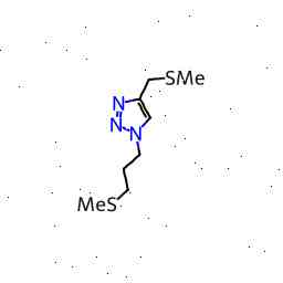 CSCCCn1cc(CSC)nn1